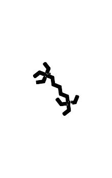 CC[N+](CC)(CC)CCCCC[N+](CC)(CC)CC